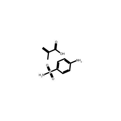 C=C(C)C(=O)O.Nc1ccc(S(N)(=O)=O)cc1